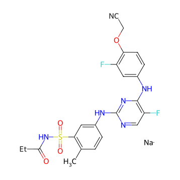 CCC(=O)NS(=O)(=O)c1cc(Nc2ncc(F)c(Nc3ccc(OCC#N)c(F)c3)n2)ccc1C.[Na]